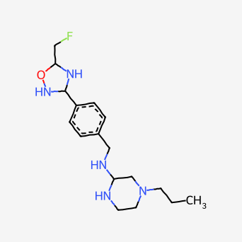 CCCN1CCNC(NCc2ccc(C3NOC(CF)N3)cc2)C1